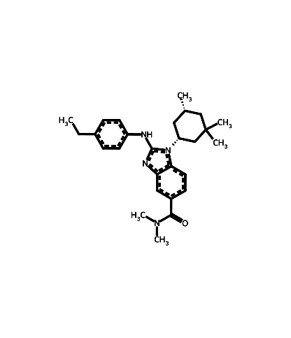 CCc1ccc(Nc2nc3cc(C(=O)N(C)C)ccc3n2[C@@H]2C[C@H](C)CC(C)(C)C2)cc1